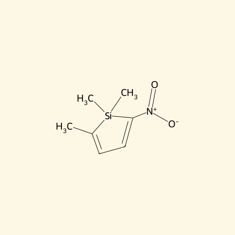 CC1=CC=C([N+](=O)[O-])[Si]1(C)C